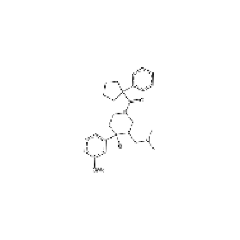 COc1cccc(C2(O)CCN(C(=O)C3(c4ccccc4)CCCC3)CC2CN(C)C)c1